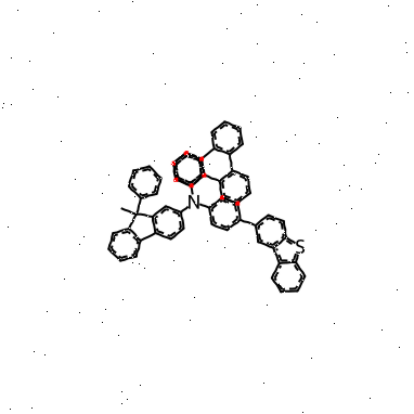 CC1(c2ccccc2)c2ccccc2-c2ccc(N(c3ccc(-c4ccc5sc6ccccc6c5c4)cc3)c3ccccc3-c3ccccc3-c3ccccc3-c3ccccc3)cc21